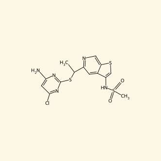 CC(Sc1nc(N)cc(Cl)n1)c1cc2c(NS(C)(=O)=O)csc2cn1